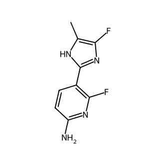 Cc1[nH]c(-c2ccc(N)nc2F)nc1F